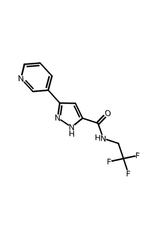 O=C(NCC(F)(F)F)c1cc(-c2cccnc2)n[nH]1